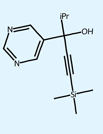 CC(C)C(O)(C#C[Si](C)(C)C)c1cncnc1